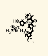 Cn1nc(C(F)(F)F)cc1Cn1ccc(C(=O)c2cncnc2N[C@@H]2C[C@H](COS(N)(=O)=O)[C@@H](O)C2)c1